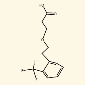 O=C(O)CCOCCc1ccccc1C(F)(F)F